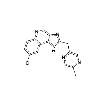 Cc1cnc(Cc2nc3cnc4ccc(Cl)cc4c3[nH]2)cn1